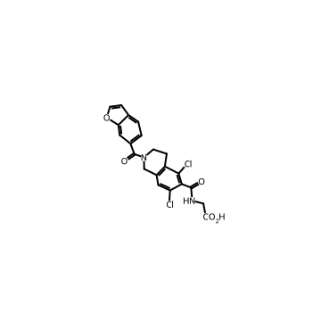 O=C(O)CNC(=O)c1c(Cl)cc2c(c1Cl)CCN(C(=O)c1ccc3ccoc3c1)C2